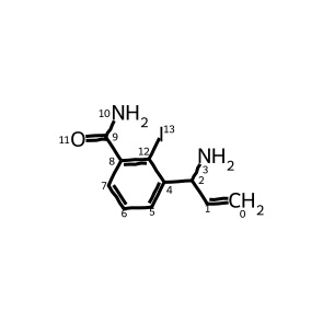 C=CC(N)c1cccc(C(N)=O)c1I